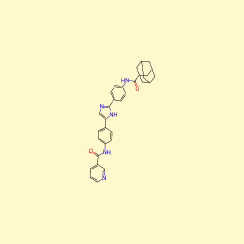 O=C(Nc1ccc(-c2cnc(-c3ccc(NC(=O)C45CC6CC(CC(C6)C4)C5)cc3)[nH]2)cc1)c1cccnc1